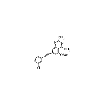 COc1cc(C#Cc2cccc(Cl)c2)cc2nc(N)nc(N)c12